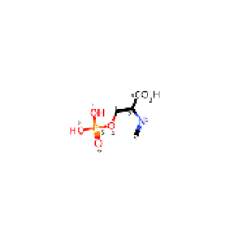 C=NC(COP(=O)(O)O)C(=O)O